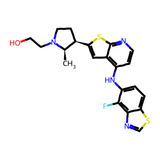 C[C@@H]1[C@H](c2cc3c(Nc4ccc5scnc5c4F)ccnc3s2)CCN1CCO